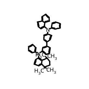 CC1(C)CCC(C)(C)c2c(N(c3ccccc3)c3cccc(-c4ccc(N(c5ccccc5)c5cccc6ccccc56)cc4)c3)cccc21